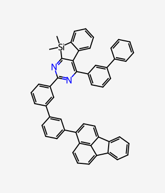 C[Si]1(C)c2ccccc2-c2c(-c3cccc(-c4ccccc4)c3)nc(-c3cccc(-c4cccc(-c5ccc6c7c(cccc57)-c5ccccc5-6)c4)c3)nc21